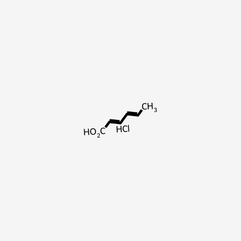 C/C=C/C=C/C(=O)O.Cl